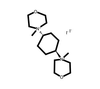 C[N+]1([C@H]2CC[C@H]([N+]3(C)CCOCC3)CC2)CCOCC1.[I-].[I-]